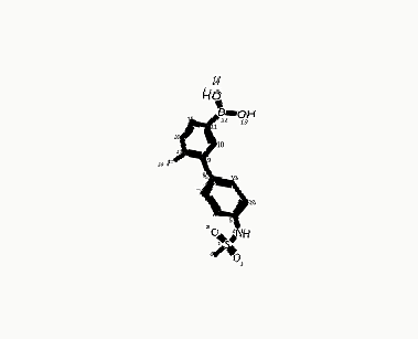 CS(=O)(=O)Nc1ccc(-c2cc(B(O)O)ccc2F)cc1